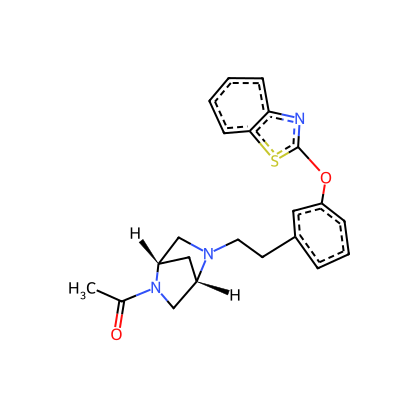 CC(=O)N1C[C@@H]2C[C@H]1CN2CCc1cccc(Oc2nc3ccccc3s2)c1